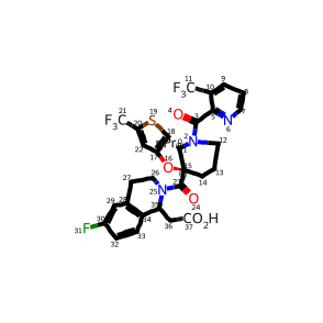 CCC[C@H]1N(C(=O)c2ncccc2C(F)(F)F)CCC[C@]1(Oc1csc(C(F)(F)F)c1)C(=O)N1CCc2cc(F)ccc2C1CC(=O)O